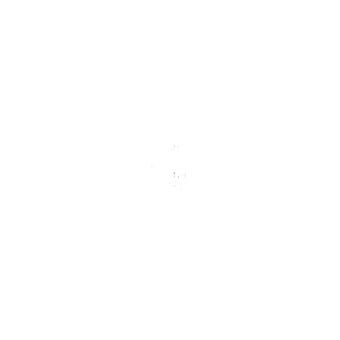 S=C(S)[NH][Fe]